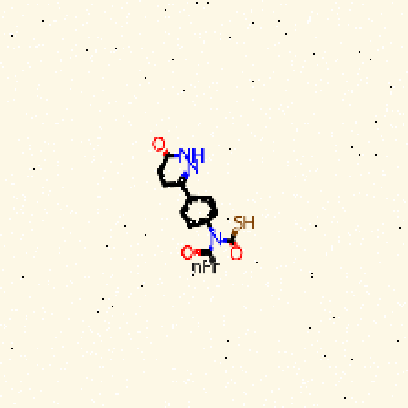 CCCC(=O)N(C(=O)S)c1ccc(C2=NNC(=O)CC2)cc1